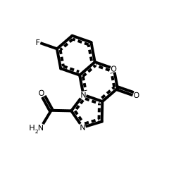 NC(=O)c1ncc2c(=O)oc3ccc(F)cc3n12